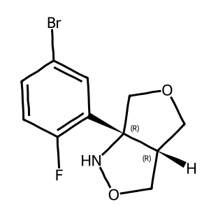 Fc1ccc(Br)cc1[C@@]12COC[C@@H]1CON2